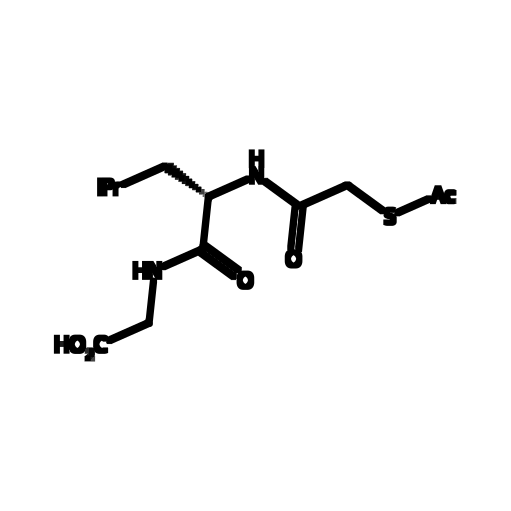 CC(=O)SCC(=O)N[C@@H](CC(C)C)C(=O)NCC(=O)O